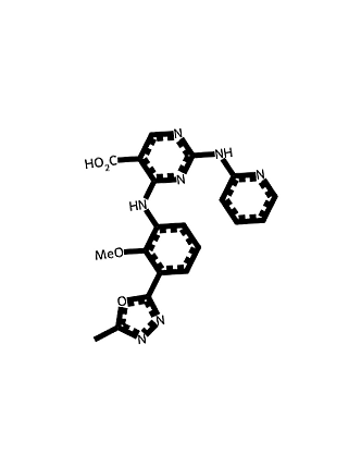 COc1c(Nc2nc(Nc3ccccn3)ncc2C(=O)O)cccc1-c1nnc(C)o1